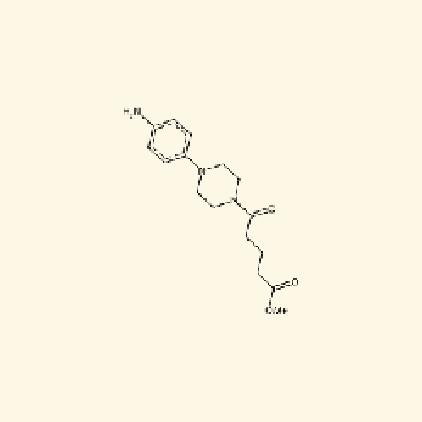 COC(=O)CCCC(=O)N1CCN(c2ccc(N)cc2)CC1